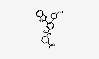 CC(=O)N1CCCN(S(=O)(=O)c2ccc(N3CC[C@H](O)C3)c(-c3cc4ccccc4[nH]3)c2)C1